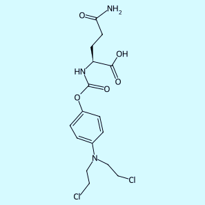 NC(=O)CC[C@H](NC(=O)Oc1ccc(N(CCCl)CCCl)cc1)C(=O)O